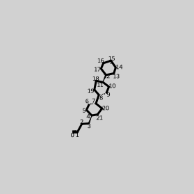 C=CCC[C@H]1CC[C@H]([C@H]2CC[C@H](C3CC[CH]CC3)CC2)CC1